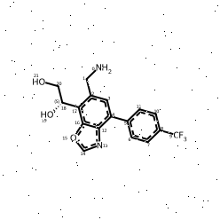 NCc1cc(-c2ccc(C(F)(F)F)cc2)c2ncoc2c1[C@H](O)CO